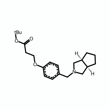 CC(C)(C)OC(=O)CCOc1ccc(CN2C[C@H]3CCC[C@H]3C2)cc1